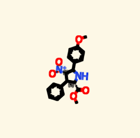 COC(=O)[C@H]1NC(c2ccc(OC)cc2)[C@@H]([N+](=O)[O-])C1c1ccccc1